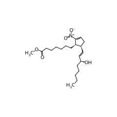 CCCCC[C@H](O)/C=C/[C@@H]1CC=C([N+](=O)[O-])[C@@H]1CCCCCCC(=O)OC